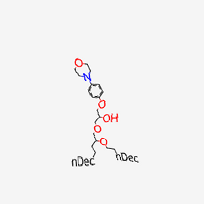 CCCCCCCCCCCCOC(CCCCCCCCCCCC)COCC(O)COc1ccc(N2CCOCC2)cc1